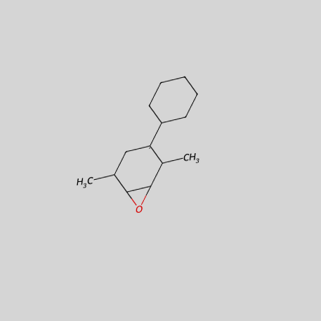 CC1C[C](C2CCCCC2)C(C)C2OC12